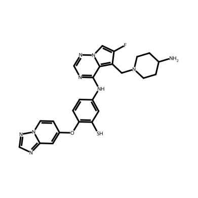 NC1CCN(Cc2c(F)cn3ncnc(Nc4ccc(Oc5ccn6ncnc6c5)c(S)c4)c23)CC1